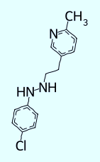 Cc1ccc(CCNNc2ccc(Cl)cc2)cn1